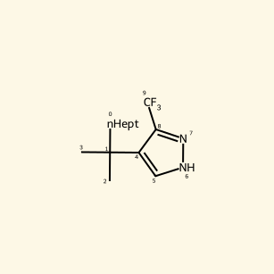 CCCCCCCC(C)(C)c1c[nH]nc1C(F)(F)F